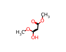 COC(=O)C=C(O)OC